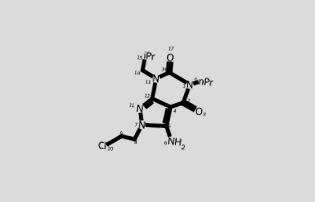 CCCn1c(=O)c2c(N)n(CCCl)nc2n(CC(C)C)c1=O